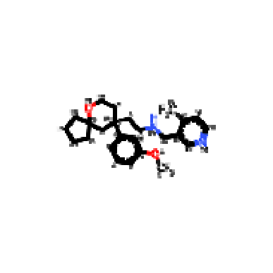 FC(F)(F)Oc1cccc([C@@]2(CCNCc3cnccc3C(F)(F)F)CCOC3(CCCC3)C2)c1